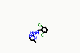 Cc1ccnc(N/N=C/c2c(Cl)cccc2Cl)n1